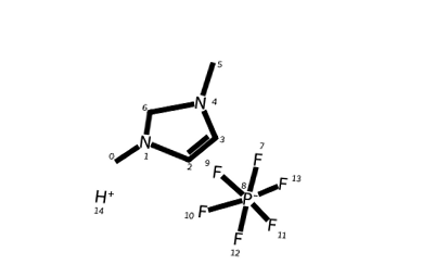 CN1C=CN(C)C1.F[P-](F)(F)(F)(F)F.[H+]